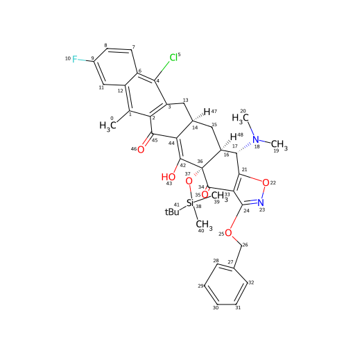 Cc1c2c(c(Cl)c3ccc(F)cc13)C[C@H]1C[C@H]3[C@H](N(C)C)c4onc(OCc5ccccc5)c4C(=O)[C@@]3(O[Si](C)(C)C(C)(C)C)C(O)=C1C2=O